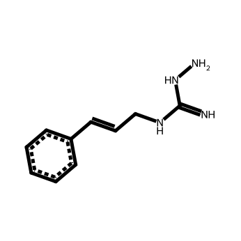 N=C(NN)NCC=Cc1ccccc1